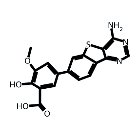 COc1cc(-c2ccc3c(c2)sc2c(N)ncnc23)cc(C(=O)O)c1O